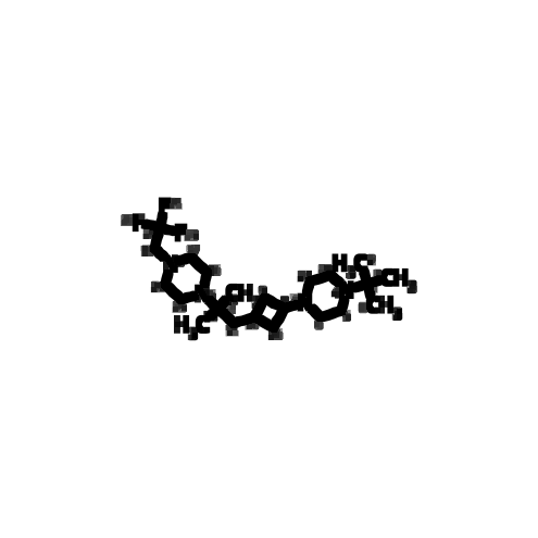 CC(C)(C)N1CCN(C2CC(CC(C)(C)N3CCN(CC(F)(F)F)CC3)C2)CC1